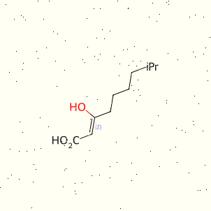 CC(C)CCCC/C(O)=C/C(=O)O